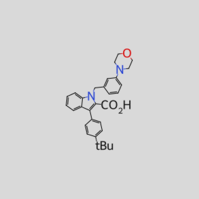 CC(C)(C)c1ccc(-c2c(C(=O)O)n(Cc3cccc(N4CCOCC4)c3)c3ccccc23)cc1